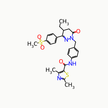 CCC1CC(=O)N(Cc2ccc(NC(=O)c3sc(C)nc3C)cc2)N=C1c1ccc(S(C)(=O)=O)cc1